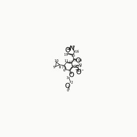 COCCOc1cc(C2CC2)cc(C(=O)c2cnoc2)c1[S+](C)[O-]